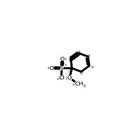 COC1(S(=O)(=O)Cl)C#CC=CC1